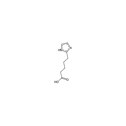 O=C(O)CCCCc1ncc[nH]1